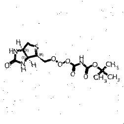 CC(C)(C)OC(=O)NC(=O)OOOC[C@@H]1SC[C@@H]2NC(=O)N[C@@H]21